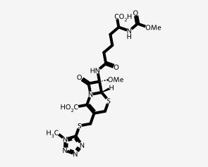 COC(=O)NC(CCCC(=O)N[C@]1(OC)C(=O)N2C(C(=O)O)=C(CSc3nnnn3C)CS[C@H]21)C(=O)O